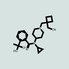 CC(O)(c1ccccc1C(=O)N(C1CC1)C1CCN(CC2(CC#N)CCC2)CC1)C(F)(F)F